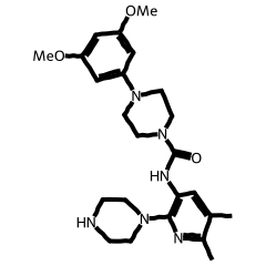 COc1cc(OC)cc(N2CCN(C(=O)Nc3cc(C)c(C)nc3N3CCNCC3)CC2)c1